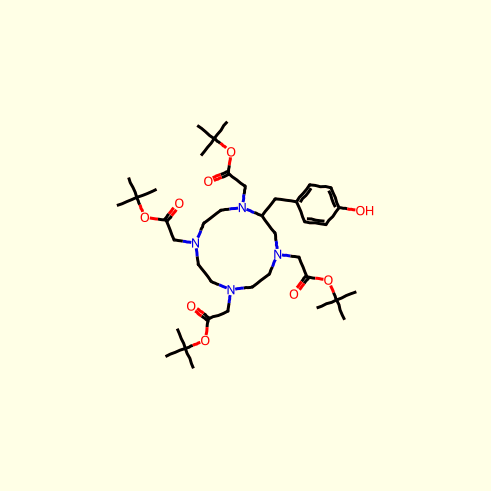 CC(C)(C)OC(=O)CN1CCN(CC(=O)OC(C)(C)C)CCN(CC(=O)OC(C)(C)C)C(Cc2ccc(O)cc2)CN(CC(=O)OC(C)(C)C)CC1